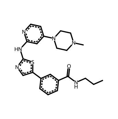 CCCNC(=O)c1cccc(-c2cnc(Nc3cc(N4CCN(C)CC4)ccn3)s2)c1